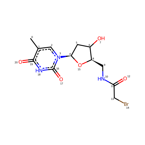 Cc1cn([C@H]2CC(O)[C@@H](CNC(=O)CBr)O2)c(=O)[nH]c1=O